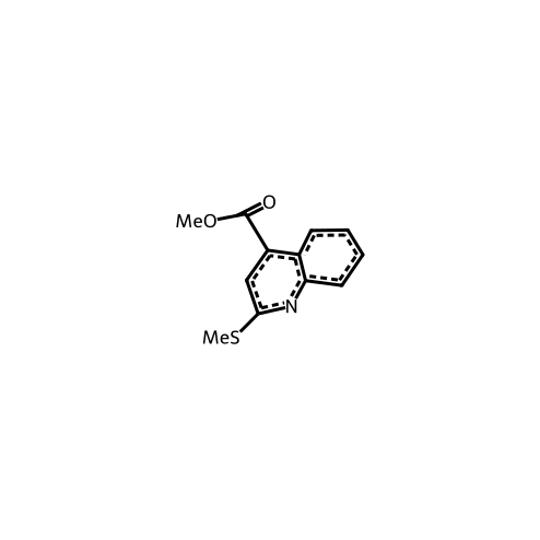 COC(=O)c1cc(SC)nc2ccccc12